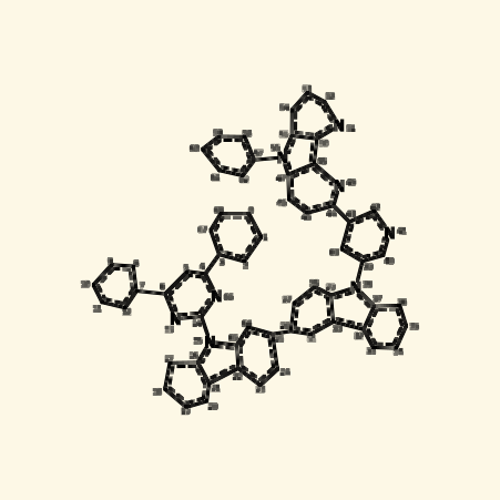 c1ccc(-c2cc(-c3ccccc3)nc(-n3c4ccccc4c4ccc(-c5ccc6c(c5)c5ccccc5n6-c5cncc(-c6ccc7c(n6)c6ncccc6n7-c6ccccc6)c5)cc43)n2)cc1